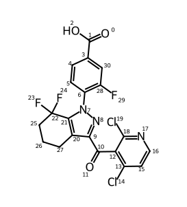 O=C(O)c1ccc(-n2nc(C(=O)c3c(Cl)ccnc3Cl)c3c2C(F)(F)CCC3)c(F)c1